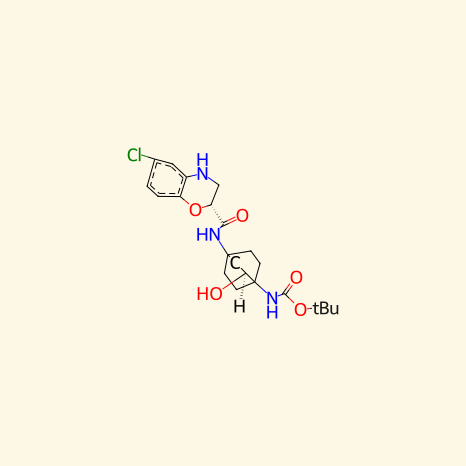 CC(C)(C)OC(=O)NC12CCC(NC(=O)[C@H]3CNc4cc(Cl)ccc4O3)(CC1)C[C@@H]2O